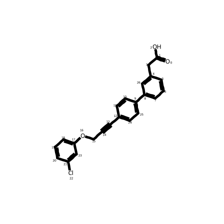 O=C(O)Cc1cccc(-c2ccc(C#CCOc3cccc(Cl)c3)cc2)c1